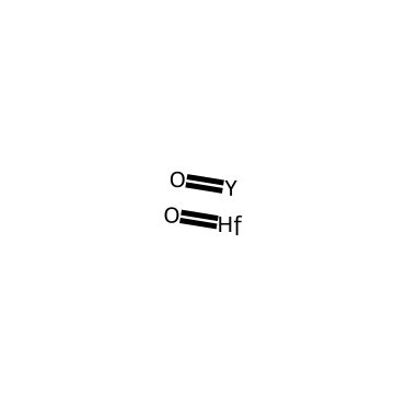 [O]=[Hf].[O]=[Y]